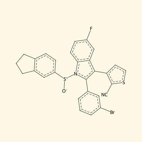 N#Cc1sccc1-c1c(-c2cccc(Br)c2)n([S+]([O-])c2ccc3c(c2)CCC3)c2ccc(F)cc12